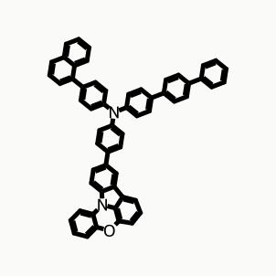 c1ccc(-c2ccc(-c3ccc(N(c4ccc(-c5ccc6c(c5)c5cccc7c5n6-c5ccccc5O7)cc4)c4ccc(-c5cccc6ccccc56)cc4)cc3)cc2)cc1